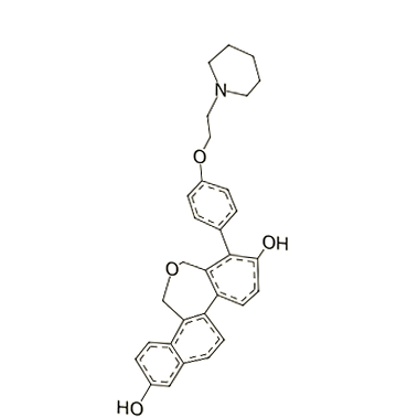 Oc1ccc2c3c(ccc2c1)-c1ccc(O)c(-c2ccc(OCCN4CCCCC4)cc2)c1COC3